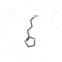 OCCCC1=NCCS1